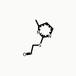 Cc1ccnc(SC[C]=O)n1